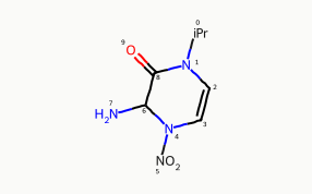 CC(C)N1C=CN([N+](=O)[O-])C(N)C1=O